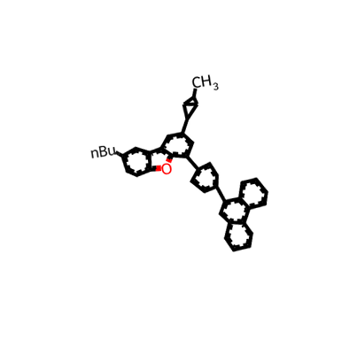 CCCCc1ccc2oc3c(-c4ccc(-c5cc6ccccc6c6ccccc56)cc4)cc(C4C5C(C)C45)cc3c2c1